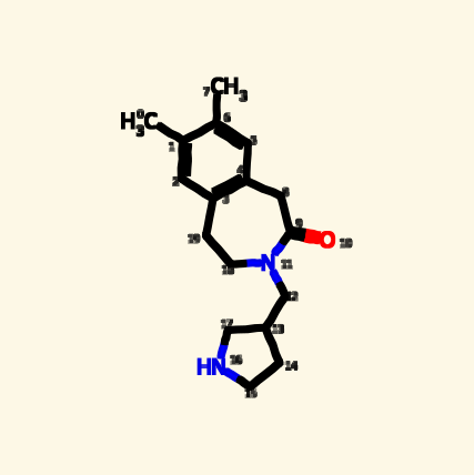 Cc1cc2c(cc1C)CC(=O)N(CC1CCNC1)CC2